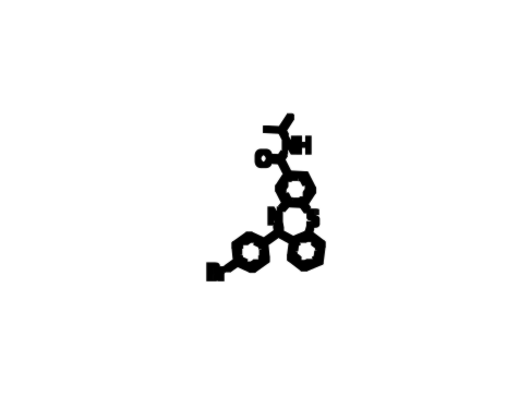 CC(C)NC(=O)c1ccc2c(c1)N=C(c1ccc(Br)cc1)c1ccccc1S2